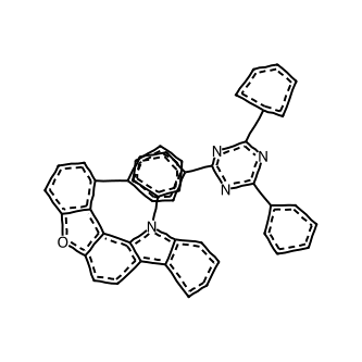 c1ccc(-c2nc(-c3ccccc3)nc(-c3ccc(-c4cccc5oc6ccc7c8ccccc8n(-c8ccccc8)c7c6c45)cc3)n2)cc1